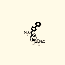 C=C(c1ccc(-c2ccccc2)cc1)C1COC(C)(CCCCCCCCCC)OO1